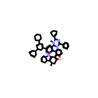 CC1Cc2oc3cccc(C4=C(C5NC(c6ccccc6)=NC(C6=CCCCC6)N5C)C=C(C5=CC(C6CCCCC6)=CC(C6C=CC=CC6)C5)CN4)c3c2C2=C1C1CC=CC=C1N2C1C=CCCC1